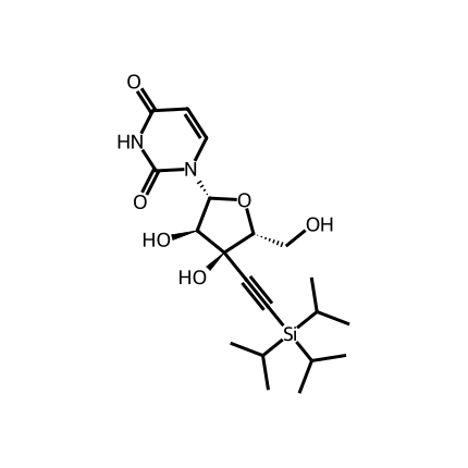 CC(C)[Si](C#C[C@@]1(O)[C@@H](CO)O[C@@H](n2ccc(=O)[nH]c2=O)[C@@H]1O)(C(C)C)C(C)C